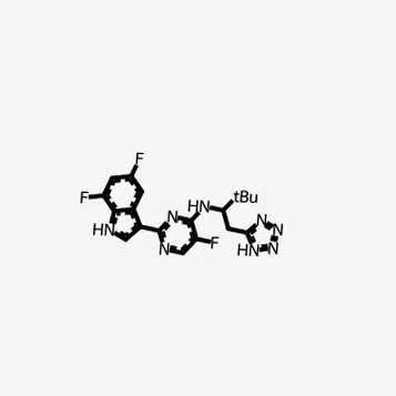 CC(C)(C)C(Cc1nnn[nH]1)Nc1nc(-c2c[nH]c3c(F)cc(F)cc23)ncc1F